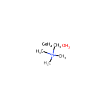 C[N+](C)(C)C.O.[GeH4]